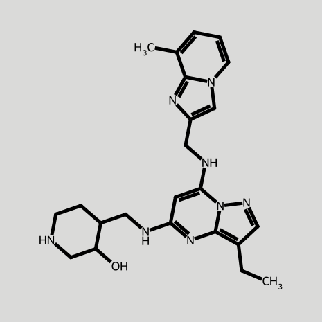 CCc1cnn2c(NCc3cn4cccc(C)c4n3)cc(NCC3CCNCC3O)nc12